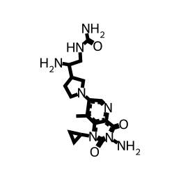 Cc1c(N2CCC(C(N)CNC(N)=O)C2)cnc2c(=O)n(N)c(=O)n(C3CC3)c12